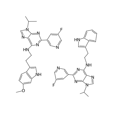 CC(C)n1cnc2c(NCCc3c[nH]c4ccccc34)nc(-c3cncc(F)c3)nc21.COc1ccc2c(CCNc3nc(-c4cncc(F)c4)nc4c3ncn4C(C)C)c[nH]c2c1